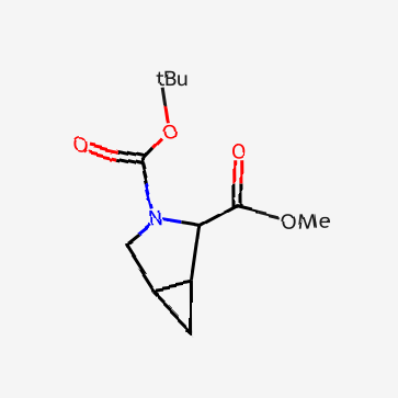 COC(=O)C1C2CC2CN1C(=O)OC(C)(C)C